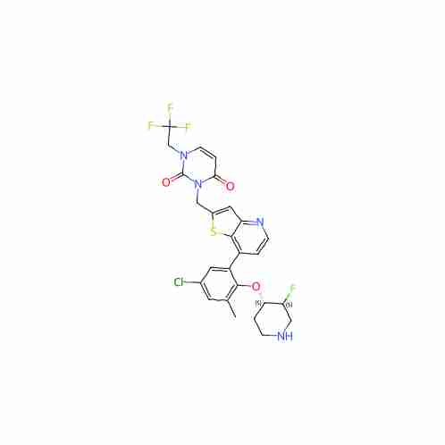 Cc1cc(Cl)cc(-c2ccnc3cc(Cn4c(=O)ccn(CC(F)(F)F)c4=O)sc23)c1O[C@H]1CCNC[C@@H]1F